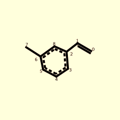 C=[C]c1cccc(C)c1